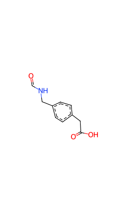 O=CNCc1ccc(CC(=O)O)cc1